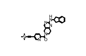 C[Si](C)(C)C#Cc1ccc(C(=O)N2CCc3nc(NC4Cc5ccccc5C4)ncc3C2)nc1